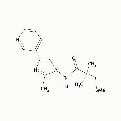 CCN(C(=O)C(C)(C)CSC)n1cc(-c2cccnc2)nc1C